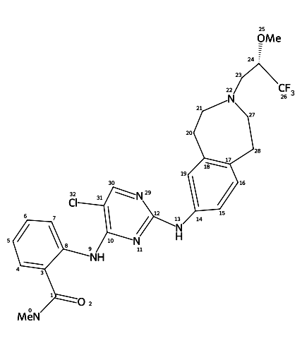 CNC(=O)c1ccccc1Nc1nc(Nc2ccc3c(c2)CCN(C[C@H](OC)C(F)(F)F)CC3)ncc1Cl